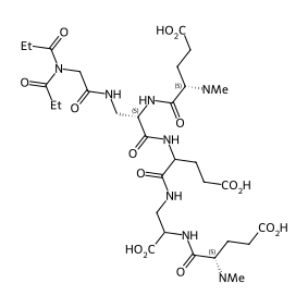 CCC(=O)N(CC(=O)NC[C@H](NC(=O)[C@H](CCC(=O)O)NC)C(=O)NC(CCC(=O)O)C(=O)NCC(NC(=O)[C@H](CCC(=O)O)NC)C(=O)O)C(=O)CC